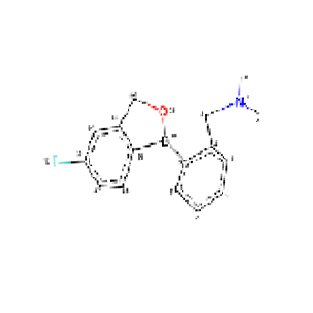 CN(C)Cc1ccccc1B1OCc2cc(F)ccc21